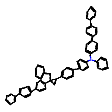 c1ccc(CC2(c3ccc(-c4ccc(-c5ccccc5)cc4)cc3)CC2c2ccc(-c3ccc(N(c4ccccc4)c4ccc(-c5ccc(-c6ccccc6)cc5)cc4)cc3)cc2)cc1